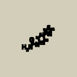 NC(=O)[N]c1ccc(-c2cscn2)cc1